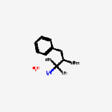 CCCCCCCCCCC(Cc1ccccc1)C(N)(CCC)CCC.O